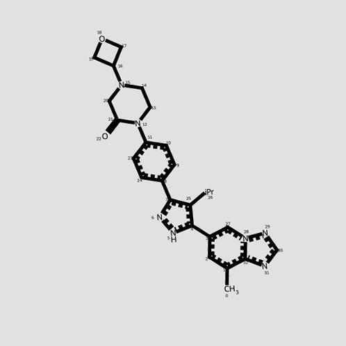 Cc1cc(-c2[nH]nc(-c3ccc(N4CCN(C5COC5)CC4=O)cc3)c2C(C)C)cn2ncnc12